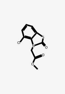 COC(=O)Cn1c(=O)sc2cccc(Cl)c21